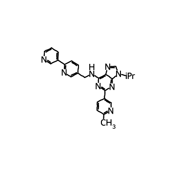 Cc1ccc(-c2nc(NCc3ccc(-c4cccnc4)nc3)c3ncn(C(C)C)c3n2)cn1